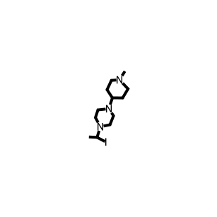 CC(I)N1CCN(C2CCN(C)CC2)CC1